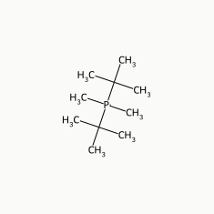 CC(C)(C)[P](C)(C)C(C)(C)C